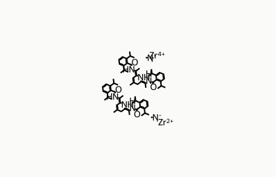 CC1=CC(=C(C)NC(=O)c2c(C(C)C)cccc2C(C)C)NC(=C(C)NC(=O)c2c(C(C)C)cccc2C(C)C)C1.CC1=CC(=C(C)NC(=O)c2c(C(C)C)cccc2C(C)C)NC(=C(C)NC(=O)c2c(C(C)C)cccc2C(C)C)C1.C[N-]C.C[N-]C.[Zr+2].[Zr+4]